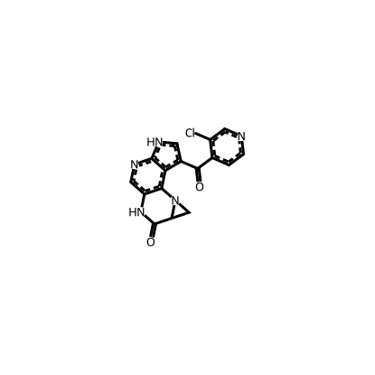 O=C(c1ccncc1Cl)c1c[nH]c2ncc3c(c12)N1CC1C(=O)N3